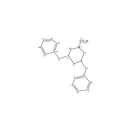 O=C(O)N1CC(Cc2ccccc2)CC(Cc2ccccc2)C1